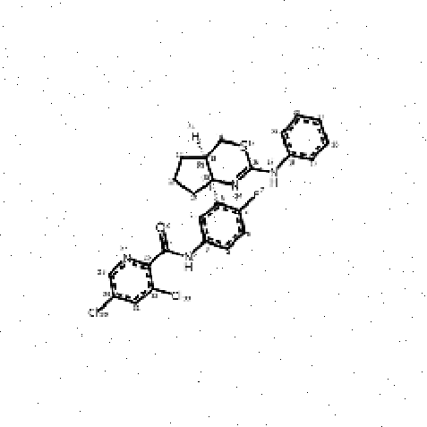 O=C(Nc1ccc(F)c([C@]23CCC[C@H]2CSC(Nc2ccccc2)=N3)c1)c1ncc(Cl)cc1Cl